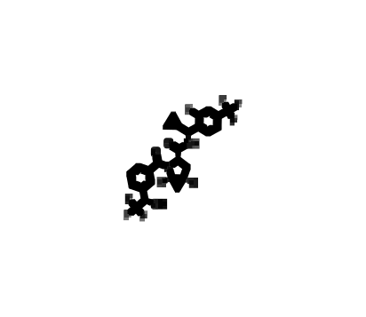 O=C(N[C@@H](c1ccc(C(F)(F)F)cc1F)C1CC1)[C@H]1C[C@H]2C[C@H]2N1C(=O)c1cccc([C@@H](O)C(F)(F)F)c1